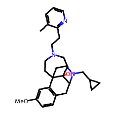 COc1ccc2c(c1)C13CCN(CCc4ncccc4C)CCC1(O)C(C2)N(CC1CC1)CC3